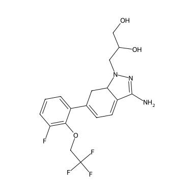 NC1=NN(CC(O)CO)C2CC(c3cccc(F)c3OCC(F)(F)F)=CC=C12